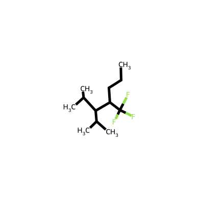 CCCC(C(C(C)C)C(C)C)C(F)(F)F